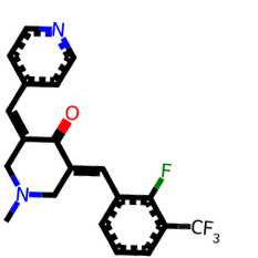 CN1CC(=Cc2ccncc2)C(=O)/C(=C/c2cccc(C(F)(F)F)c2F)C1